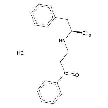 C[C@H](Cc1ccccc1)NCCC(=O)c1ccccc1.Cl